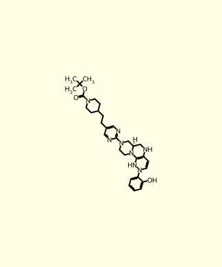 CC(C)(C)OC(=O)N1CCC(CCc2cnc(N3CCN4C5=C(C=CN(c6ccccc6O)N5)NC[C@@H]4C3)nc2)CC1